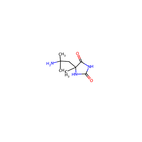 CC(C)(N)CC1(C)NC(=O)NC1=O